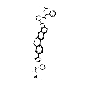 COC(=O)N[C@H](C(=O)N1CCC[C@H]1c1ncc(-c2ccc3c(c2)COc2cc4c(ccc5nc(C6C[C@H](C)CN6C(=O)[C@H](NC(O)OC)c6ccccc6)[nH]c54)cc2-3)[nH]1)C(C)C